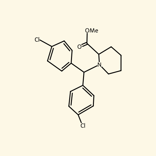 COC(=O)C1CCCCN1C(c1ccc(Cl)cc1)c1ccc(Cl)cc1